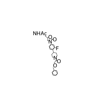 CC(=O)NCC1CN(c2ccc(C3CCN(C(=O)COCc4ccccc4)CC3)c(F)c2)C(=O)O1